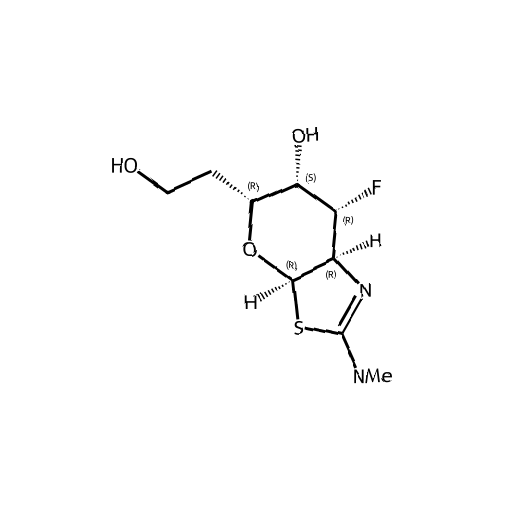 CNC1=N[C@@H]2[C@@H](F)[C@@H](O)[C@@H](CCO)O[C@@H]2S1